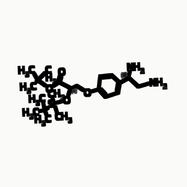 CC(C)(C)OC(=O)[C@@H](COc1ccc([C@@H](N)CN)cc1)O[Si](C)(C)C(C)(C)C